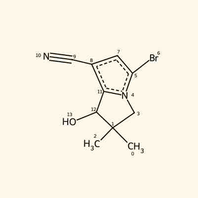 CC1(C)Cn2c(Br)cc(C#N)c2C1O